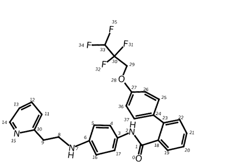 O=C(Nc1ccc(NCCc2ccccn2)cc1)c1ccccc1-c1ccc(OCC(F)(F)C(F)F)cc1